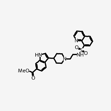 COC(=O)c1ccc2c(C3CCN(CCNS(=O)(=O)c4cccc5cccnc45)CC3)c[nH]c2c1